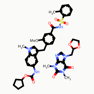 COc1cc(C(=O)NS(=O)(=O)c2ccccc2C)ccc1Cc1cn(C)c2ccc(NC(=O)OC3CCCC3)cc12.Cn1c(=O)c2c(ncn2CC2OCCO2)n(C)c1=O